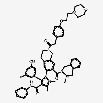 Cc1c(C(=O)Nc2ccccc2)c(-c2cc(F)cc(C#N)c2)c(-c2cc3c(cc2C(=O)N2Cc4ccccc4C[C@H]2C)CN(C(=O)Cc2ccc(OCCN4CCOCC4)cc2)CC3)n1C